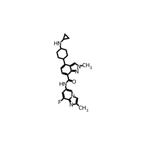 Cc1cn2cc(NC(=O)c3ccc(C4CCC(NC5CC5)CC4)c4cn(C)nc34)cc(F)c2n1